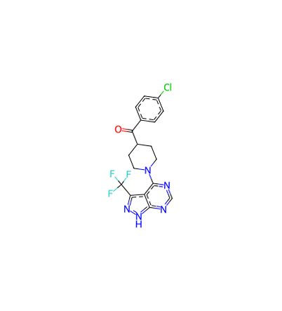 O=C(c1ccc(Cl)cc1)C1CCN(c2ncnc3[nH]nc(C(F)(F)F)c23)CC1